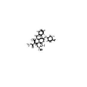 NC(=O)c1c(CC(O)O)c2ncc(Cc3ccc(F)cc3)cc2n(Cc2cccnc2)c1=O